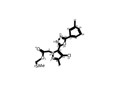 CSCOC(=O)Cn1nc(C)c(Cl)c1-c1nnc(-c2cccc(C)c2)o1